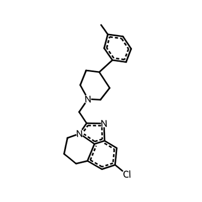 Cc1cccc(C2CCN(Cc3nc4cc(Cl)cc5c4n3CCC5)CC2)c1